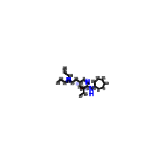 C\C=C(/C=N\C(NC1CCCCCC1)=C(/C)CC)CCN(CCC)CCC